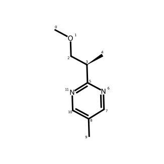 COC[C@@H](C)c1ncc(C)cn1